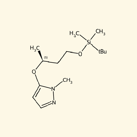 C[C@@H](CCO[Si](C)(C)C(C)(C)C)Oc1ccnn1C